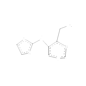 N#CCc1ncccc1Sc1ncc[nH]1